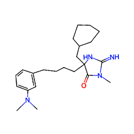 CN1C(=N)NC(CCCCc2cccc(N(C)C)c2)(CC2CCCCC2)C1=O